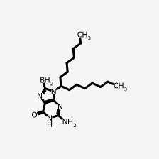 Bc1nc2c(=O)[nH]c(N)nc2n1C(CCCCCCC)CCCCCCC